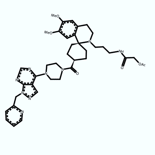 COc1cc2c(cc1OC)[C@]1(CC[C@H](C(=O)N3CCN(c4ncnc5c4cnn5Cc4ccccn4)CC3)CC1)N(CCCNC(=O)COC(C)=O)CC2